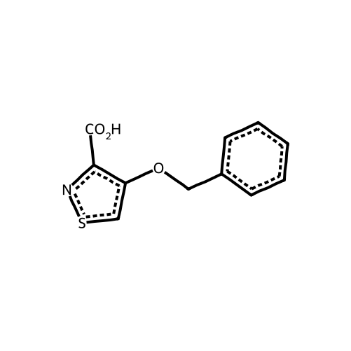 O=C(O)c1nscc1OCc1ccccc1